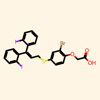 O=C(O)COc1ccc(SCC=C(c2ccccc2I)c2ccccc2I)cc1Br